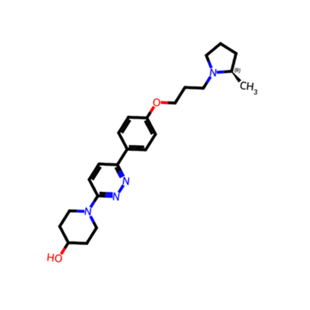 C[C@@H]1CCCN1CCCOc1ccc(-c2ccc(N3CCC(O)CC3)nn2)cc1